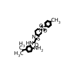 Cc1ccc(S(=O)(=O)N2CCc3nc(C(=O)Nc4cc(C(C)C)ccc4N)sc3C2)cc1